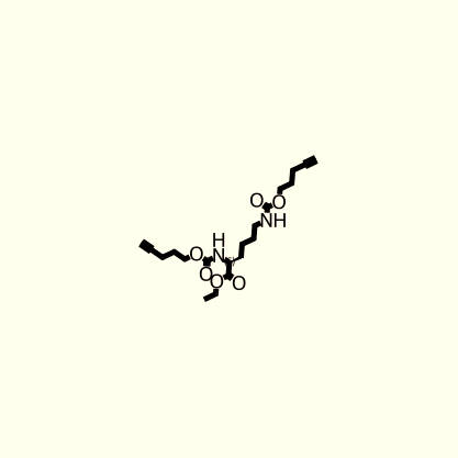 C#CCCCOC(=O)NCCCC[C@H](NC(=O)OCCCC#C)C(=O)OCC